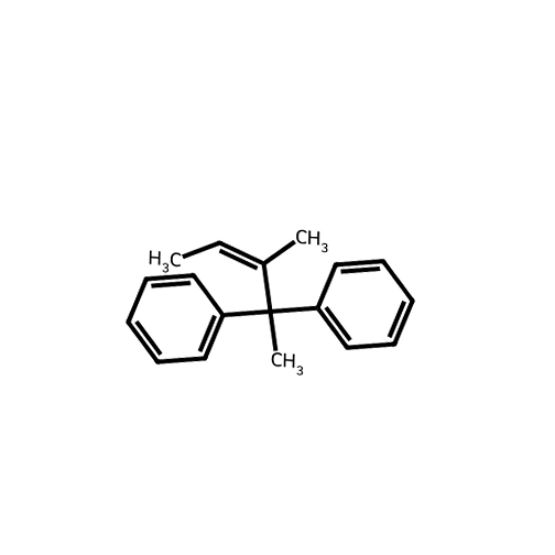 C/C=C(/C)C(C)(c1ccccc1)c1ccccc1